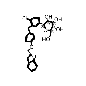 OC[C@H]1O[C@@H](c2ccc(Cl)c(Cc3ccc(OC[C@@H]4Cc5ccccc5O4)cc3)c2)[C@H](O)[C@@H](O)[C@@H]1O